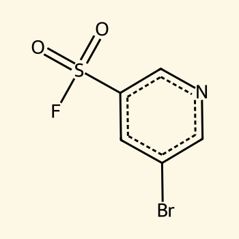 O=S(=O)(F)c1cncc(Br)c1